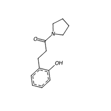 O=C(CCc1ccccc1O)N1CCCC1